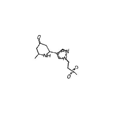 CC1CC(=O)CC(c2cnn(CCS(C)(=O)=O)c2)N1